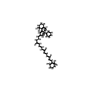 CC1=C(/C=C/C(C)=C/C=C/C(C)=C/C=C/C=C(\C)CC/C=C(C)/C=C(/C2=C(C)CCCC2(C)C)S(=O)(=O)c2ccccc2)C(C)(C)CCC1